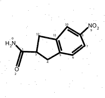 NC(=O)C1Cc2ccc([N+](=O)[O-])cc2C1